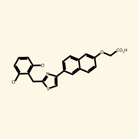 O=C(O)COc1ccc2cc(-c3csc(Cc4c(Cl)cccc4Cl)n3)ccc2c1